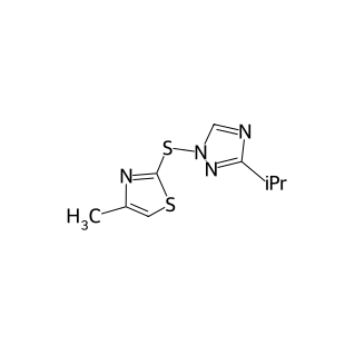 Cc1csc(Sn2cnc(C(C)C)n2)n1